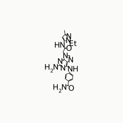 CCn1nc(C)cc1NC(=O)Cn1cnc2c(Nc3ccc(C(N)=O)cc3)nc(N)nc21